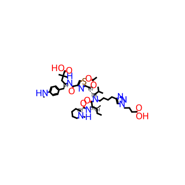 CC[C@H](C)[C@H](NC(=O)[C@H]1CCCCN1C)C(=O)N(CCCCc1cn(CCCC(=O)O)nn1)[C@H](C[C@@H](OC(C)=O)c1nc(C(=O)N[C@@H](Cc2ccc(NC)cc2)CC(C)(C)C(=O)O)cs1)C(C)C